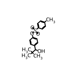 Cc1ccc(S(=O)(=O)Oc2ccc(C(O)C(C)(C)C)cc2)cc1